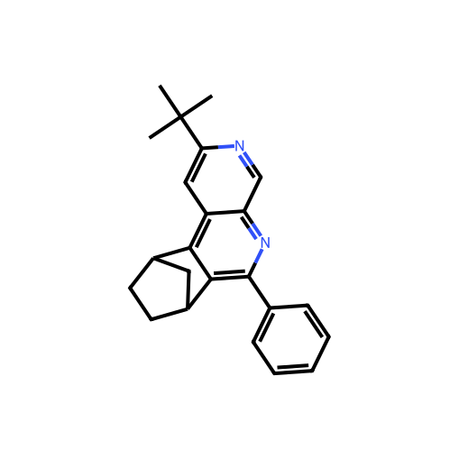 CC(C)(C)c1cc2c3c(c(-c4ccccc4)nc2cn1)C1CCC3C1